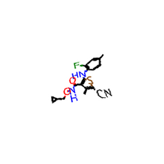 Cc1ccc(Nc2sc(C#N)c(C)c2C(=O)NOCC2CC2)c(F)c1